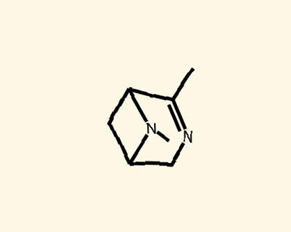 CC1=NCC2CC1N2C